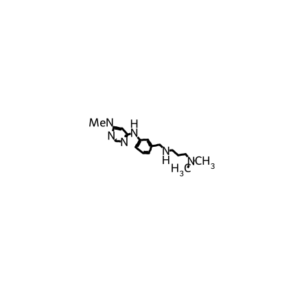 CNc1cc(Nc2cccc(CNCCCN(C)C)c2)ncn1